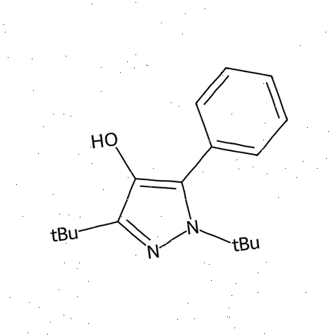 CC(C)(C)c1nn(C(C)(C)C)c(-c2ccccc2)c1O